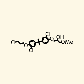 COCC(O)COc1ccc(C(C)(C)c2ccc(OCCCCl)c(Cl)c2)cc1Cl